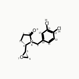 O=C1CC[C@@H]([C@@H]2CO2)N1Cc1ccc(Cl)c(Cl)c1